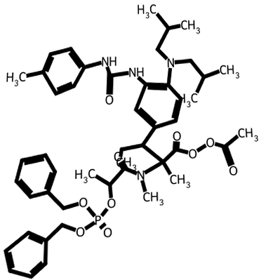 CCC(c1ccc(N(CC(C)C)CC(C)C)c(NC(=O)Nc2ccc(C)cc2)c1)C(C)(C(=O)OOC(C)=O)N(C)C(=O)C(C)OP(=O)(OCc1ccccc1)OCc1ccccc1